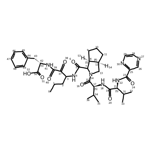 CCCC(NC(=O)C1[C@H]2CCC[C@H]2CN1C(=O)[C@@H](NC(=O)[C@@H](NC(=O)c1cnccn1)C(C)C)C(C)C)C(=O)C(=O)N[C@@H](Cc1ccccc1)C(=O)O